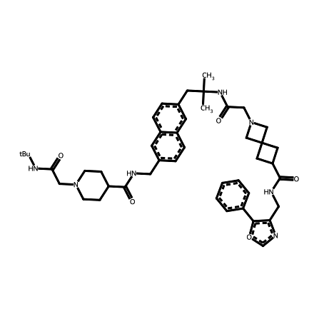 CC(C)(C)NC(=O)CN1CCC(C(=O)NCc2ccc3cc(CC(C)(C)NC(=O)CN4CC5(CC(C(=O)NCc6ncoc6-c6ccccc6)C5)C4)ccc3c2)CC1